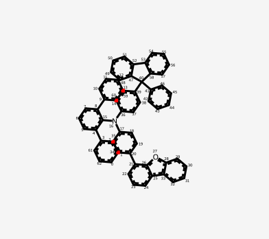 c1ccc(-c2cccc(-c3ccccc3)c2N(c2ccc(-c3cccc4c3oc3ccccc34)cc2)c2ccc(C3(c4ccccc4)c4ccccc4-c4ccccc43)cc2)cc1